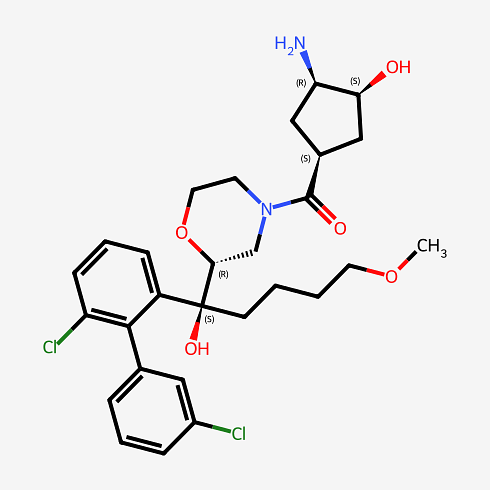 COCCCC[C@](O)(c1cccc(Cl)c1-c1cccc(Cl)c1)[C@H]1CN(C(=O)[C@H]2C[C@@H](N)[C@@H](O)C2)CCO1